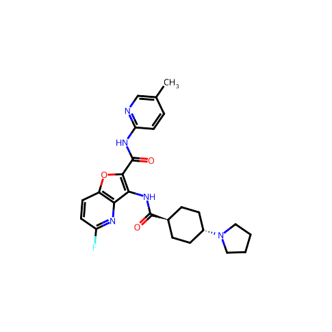 Cc1ccc(NC(=O)c2oc3ccc(F)nc3c2NC(=O)[C@H]2CC[C@H](N3CCCC3)CC2)nc1